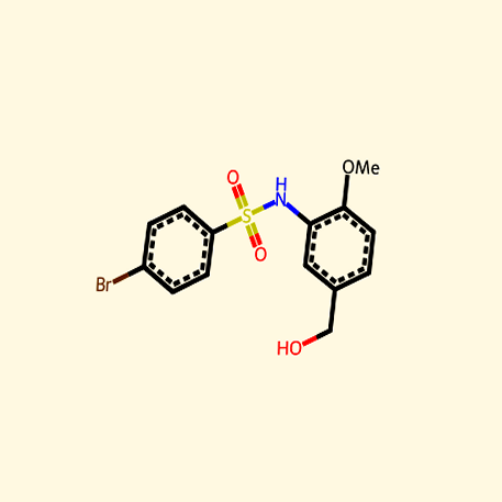 COc1ccc(CO)cc1NS(=O)(=O)c1ccc(Br)cc1